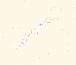 COc1ccc(CN2CCC(c3cc(C)c(-c4cnc5cc(N)ncc5c4)cn3)=N2)cc1